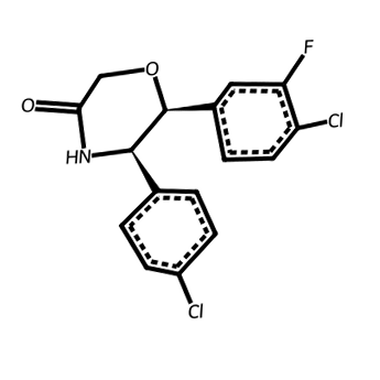 O=C1CO[C@@H](c2ccc(Cl)c(F)c2)[C@@H](c2ccc(Cl)cc2)N1